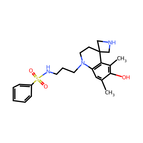 Cc1cc2c(c(C)c1O)C1(CCN2CCCNS(=O)(=O)c2ccccc2)CNC1